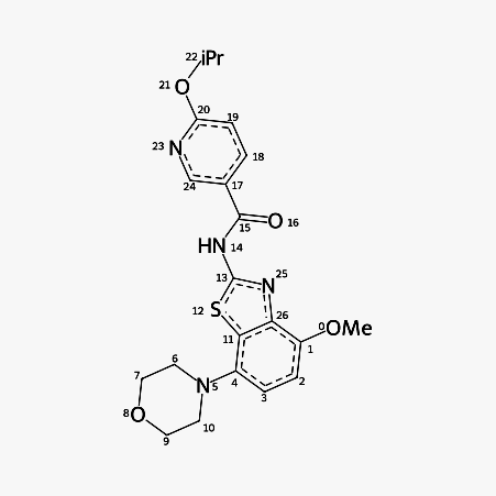 COc1ccc(N2CCOCC2)c2sc(NC(=O)c3ccc(OC(C)C)nc3)nc12